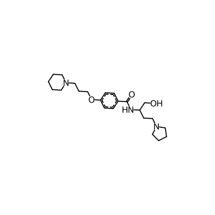 O=C(NC(CO)CCN1CCCC1)c1ccc(OCCCN2CCCCC2)cc1